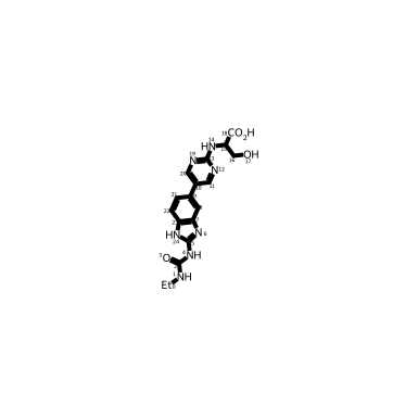 CCNC(=O)Nc1nc2cc(-c3cnc(NC(CO)C(=O)O)nc3)ccc2[nH]1